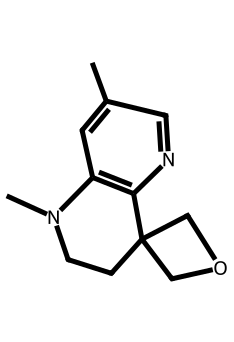 Cc1cnc2c(c1)N(C)CCC21COC1